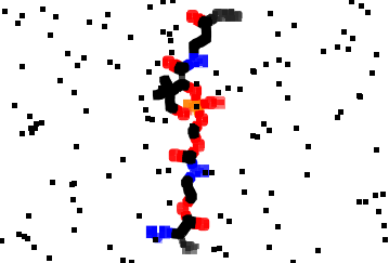 COC(=O)CCNC(=O)[C@@H]1O[PH](O)(OCOC(=O)NCCOC(=O)[C@@H](N)C(C)C)OCC1(C)C